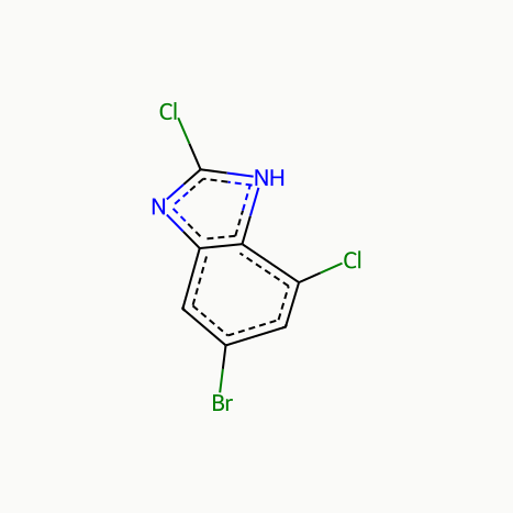 Clc1nc2cc(Br)cc(Cl)c2[nH]1